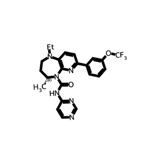 CCN1CC[C@@H](C)N(C(=O)Nc2ccncn2)c2nc(-c3cccc(OC(F)(F)F)c3)ccc21